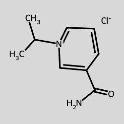 CC(C)[n+]1cccc(C(N)=O)c1.[Cl-]